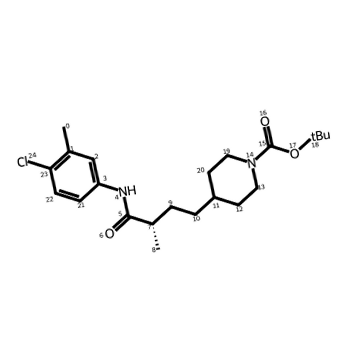 Cc1cc(NC(=O)[C@@H](C)CCC2CCN(C(=O)OC(C)(C)C)CC2)ccc1Cl